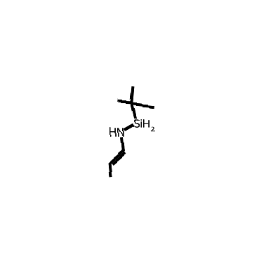 CC=CN[SiH2]C(C)(C)C